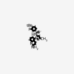 Cc1cc(N[S+]([O-])c2ccc(C(C)(C)C)c(F)c2)n(-c2cccc3nc(N)ccc23)n1